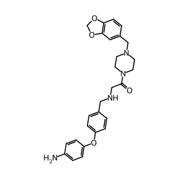 Nc1ccc(Oc2ccc(CNCC(=O)N3CCN(Cc4ccc5c(c4)OCO5)CC3)cc2)cc1